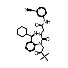 CC(C)(C)C(=O)CN1C(=O)N(CC(=O)Nc2cccc(C#N)c2)N=C(C2CCCCC2)c2ccccc21